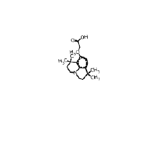 CC1(C)CCN2CCC(C)(C)c3c(OCC(=O)O)ccc1c32